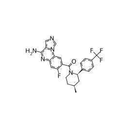 C[C@H]1CCN(C(=O)c2cc3c(cc2F)nc(N)c2cncn23)[C@@H](c2ccc(C(F)(F)F)cc2)C1